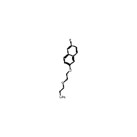 CC(=O)OCCOCCOc1ccc2cc(F)ccc2c1